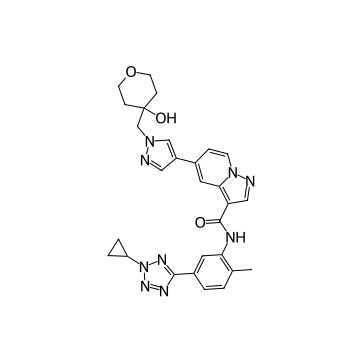 Cc1ccc(-c2nnn(C3CC3)n2)cc1NC(=O)c1cnn2ccc(-c3cnn(CC4(O)CCOCC4)c3)cc12